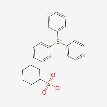 O=S(=O)([O-])C1CCCCC1.c1ccc([S+](c2ccccc2)c2ccccc2)cc1